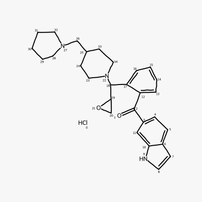 Cl.O=C(c1ccc2cc[nH]c2c1)c1ccccc1C(C1CO1)N1CCC(CN2CCCCC2)CC1